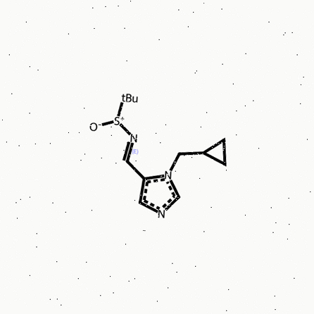 CC(C)(C)[S+]([O-])/N=C/c1cncn1CC1CC1